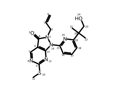 C=CCn1c(=O)c2cnc(SC)nc2n1-c1cccc(C(C)(C)CO)n1